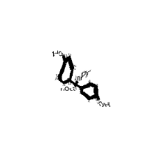 CCCCCCCCC(CCC)(c1ccc(O)cc1)c1ccc(O)cc1